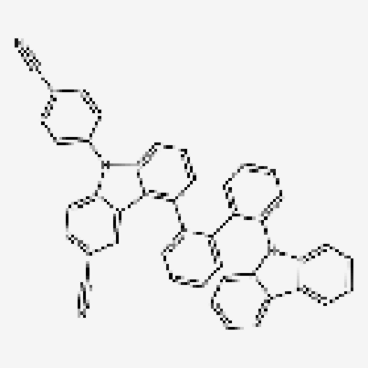 N#Cc1ccc(-n2c3ccc(C#N)cc3c3c(-c4ccccc4-c4ccccc4-n4c5ccccc5c5ccccc54)cccc32)cc1